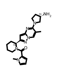 Cc1cn2nc([C@@H]3CCCCN3C(=O)c3cccn3C)cc2nc1N1CC[C@H](N)C1